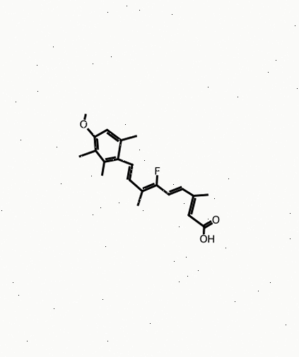 COc1cc(C)c(C=CC(C)=C(F)C=CC(C)=CC(=O)O)c(C)c1C